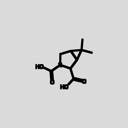 CC1(C)C2CN(C(=O)O)C(C(=O)O)C21